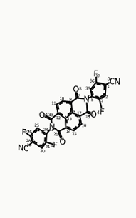 N#Cc1cc(F)c(N2C(=O)c3ccc4c5c(ccc(c35)C2=O)C(=O)N(c2cc(F)c(C#N)cc2F)C4=O)cc1F